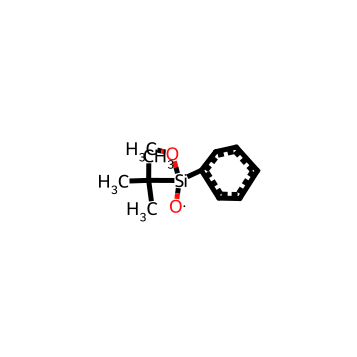 CO[Si]([O])(c1ccccc1)C(C)(C)C